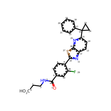 O=C(O)CCNC(=O)c1ccc(-c2nc3ccc(C4(c5ccccc5)CC4)nc3s2)c(F)c1